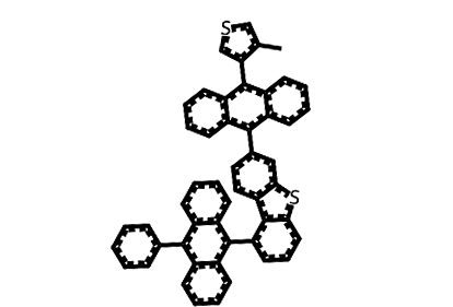 Cc1cscc1-c1c2ccccc2c(-c2ccc3c(c2)sc2cccc(-c4c5ccccc5c(-c5ccccc5)c5ccccc45)c23)c2ccccc12